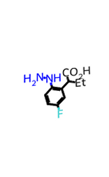 CCC(C(=O)O)c1cc(F)ccc1NN